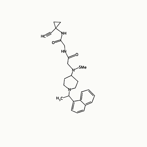 C#CC1(NC(=O)CNC(=O)CN(SC)C2CCN(C(C)c3cccc4ccccc34)CC2)CC1